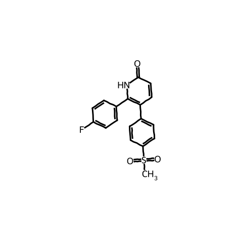 CS(=O)(=O)c1ccc(-c2ccc(=O)[nH]c2-c2ccc(F)cc2)cc1